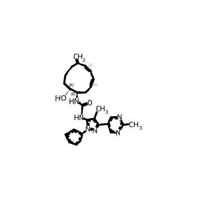 C=C1/C=C\C=C/C[C@@H](NC(=O)Nc2c(C)c(-c3cnc(C)nc3)nn2-c2ccccc2)[C@H](O)CCC1